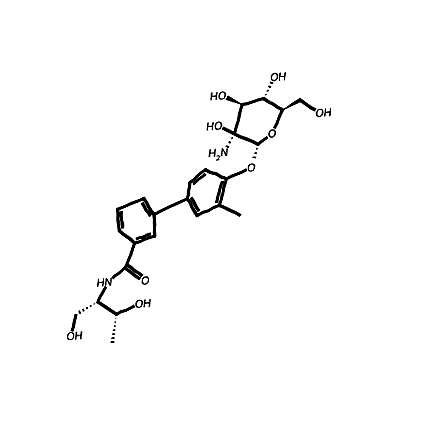 Cc1cc(-c2cccc(C(=O)N[C@@H](CO)[C@@H](C)O)c2)ccc1O[C@H]1O[C@H](CO)[C@@H](O)[C@H](O)[C@]1(N)O